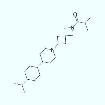 CC(C)C(=O)N1CC2(CC(N3CCC([C@H]4CC[C@@H](C(C)C)CC4)CC3)C2)C1